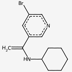 C=C(NC1CCCCC1)c1cncc(Br)c1